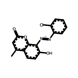 Cc1cc(=O)oc2c(/N=N/c3ccccc3Cl)c(O)ccc12